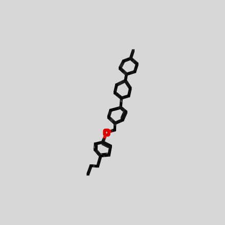 CCCc1ccc(OCC2C=CC(C3CCC(C4CCC(C)CC4)CC3)CC2)cc1